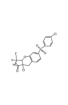 O=C(O)C1(Cl)Cc2ccc(S(=O)(=O)c3ccc(Cl)cc3)cc2OC1C(F)(F)F